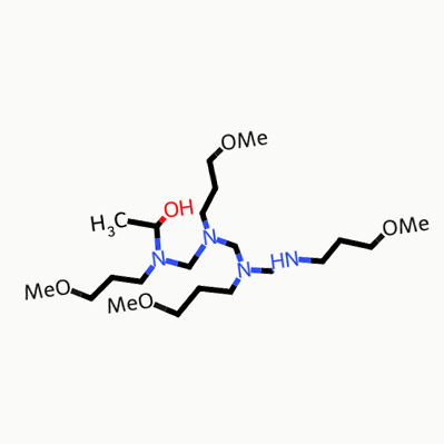 COCCCNCN(CCCOC)CN(CCCOC)CN(CCCOC)C(C)O